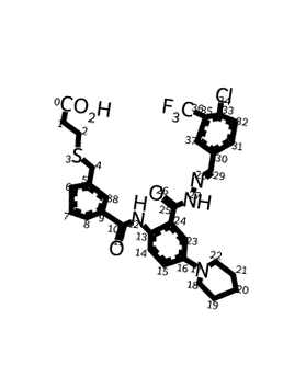 O=C(O)CCSCc1cccc(C(=O)Nc2ccc(N3CCCCC3)cc2C(=O)NN=Cc2ccc(Cl)c(C(F)(F)F)c2)c1